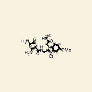 CCNC(=O)C[n+]1c(CNC(=O)c2nc(Cl)c(N)nc2N)n(CC)c2cc(OC)ccc21